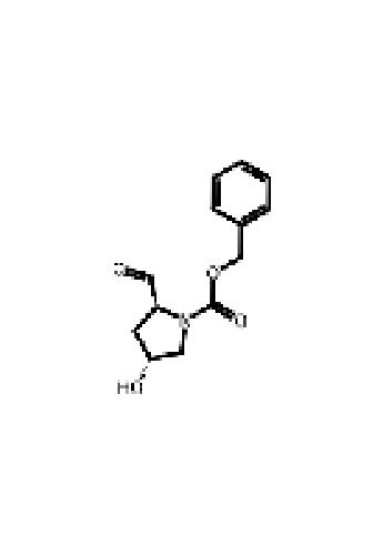 O=[C][C@@H]1C[C@@H](O)CN1C(=O)OCc1ccccc1